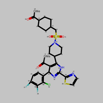 COC(=O)C1=C(C2CCN(S(=O)(=O)CC3CCC(C(=O)OC)CC3)CC2)NC(c2nccs2)=NC1c1ccc(F)c(F)c1Cl